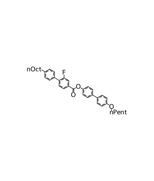 CCCCCCCCc1ccc(-c2ccc(C(=O)Oc3ccc(-c4ccc(OCCCCC)cc4)cc3)cc2F)cc1